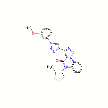 COc1cccc(-n2cc(-c3ncn4c3c(=O)n(C3CCOC3C)c3ccccc34)nn2)c1